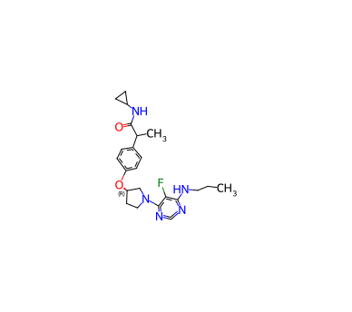 CCCNc1ncnc(N2CC[C@@H](Oc3ccc(C(C)C(=O)NC4CC4)cc3)C2)c1F